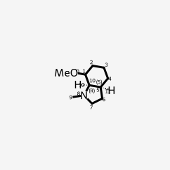 COC1CCC[C@H]2CCN(C)[C@@H]12